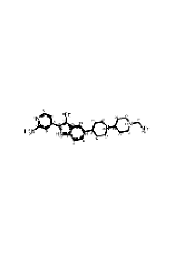 CCc1c(-c2ccnc(N)c2)[nH]c2ccc(C3CCN(C4CCN(CC(C)C)CC4)CC3)cc12